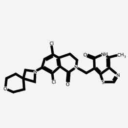 Cc1[nH]c(=O)c(CN2CCc3c(Cl)cc(N4CC5(CCOCC5)C4)c(Cl)c3C2=O)c2scnc12